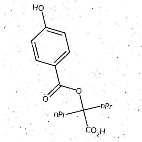 CCCC(CCC)(OC(=O)c1ccc(O)cc1)C(=O)O